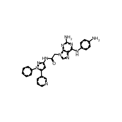 Nc1ccc(Nc2nc(N)nc3c2ncn3CC(=O)Nc2cc(-c3cccnc3)n(-c3ccccc3)n2)cc1